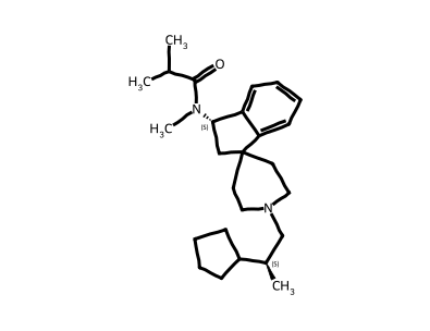 CC(C)C(=O)N(C)[C@H]1CC2(CCN(C[C@@H](C)C3CCCC3)CC2)c2ccccc21